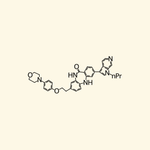 CCCn1cc(-c2ccc3c(c2)Nc2ccc(CCOc4ccc(N5CCOCC5)cc4)cc2NC3=O)c2ccncc21